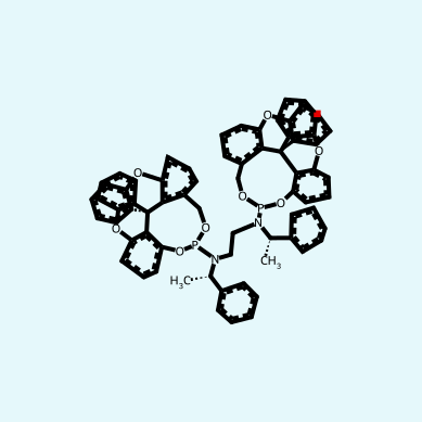 C[C@@H](c1ccccc1)N(CCN([C@@H](C)c1ccccc1)P1OCc2cccc3c2[C@]2(c4ccccc4O3)c3ccccc3Oc3cccc(c32)O1)P1OCc2cccc3c2[C@]2(c4ccccc4O3)c3ccccc3Oc3cccc(c32)O1